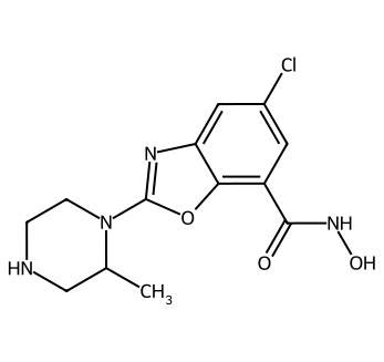 CC1CNCCN1c1nc2cc(Cl)cc(C(=O)NO)c2o1